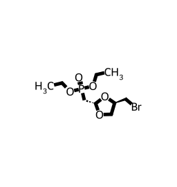 CCOP(=O)(C[C@H]1OC[C@H](CBr)O1)OCC